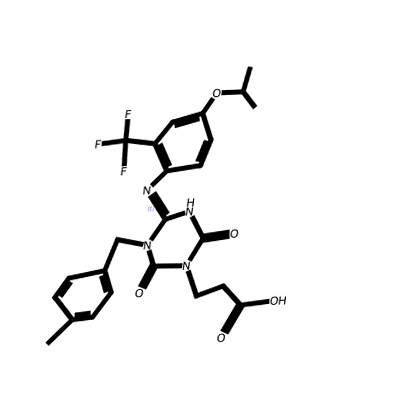 Cc1ccc(Cn2c(=O)n(CCC(=O)O)c(=O)[nH]/c2=N\c2ccc(OC(C)C)cc2C(F)(F)F)cc1